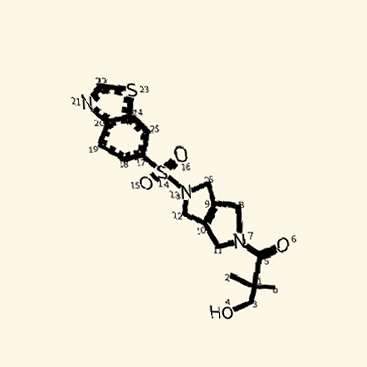 CC(C)(CO)C(=O)N1CC2=C(C1)CN(S(=O)(=O)c1ccc3ncsc3c1)C2